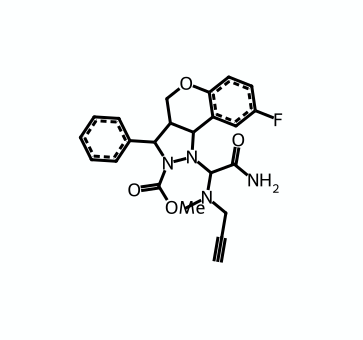 C#CCN(C)C(C(N)=O)N1C2c3cc(F)ccc3OCC2C(c2ccccc2)N1C(=O)OC